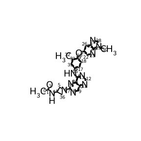 CC(=O)NC1CN(c2ncc3ncnc(Nc4ccc(Oc5cnc6c(c5)ncn6C)c(C)c4)c3n2)C1